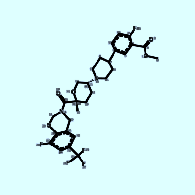 COC(=O)c1cc(C2CCN([C@@H]3CC[C@](C)(C(=O)N4COc5c(F)cc(C(F)(F)F)cc5C4)OC3)CC2)ccc1F